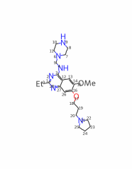 CCc1nc(NCN2CCNCC2)c2cc(OC)c(OCCCN3CCCC3)cc2n1